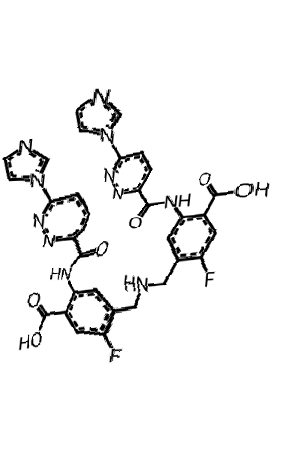 O=C(Nc1cc(CNCc2cc(NC(=O)c3ccc(-n4ccnc4)nn3)c(C(=O)O)cc2F)c(F)cc1C(=O)O)c1ccc(-n2ccnc2)nn1